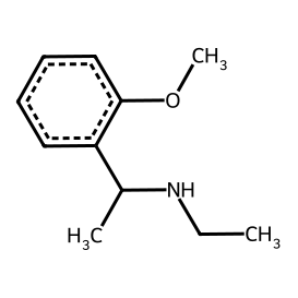 CCNC(C)c1ccccc1OC